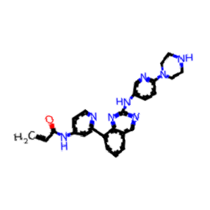 C=CC(=O)Nc1ccnc(-c2cccc3cnc(Nc4ccc(N5CCNCC5)nc4)nc23)c1